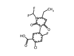 CCc1cc(=O)n(-c2cc(C(=O)O)c(Cl)cc2F)c(=O)n1C(F)F